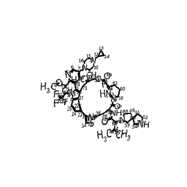 CO[C@@H](C)c1ncc(N2CCN(C3CC3)CC2)cc1-c1c2c3cc(ccc3n1CC(F)(F)F)-c1csc(n1)C[C@H](NC(=O)[C@H](C(C)C)N1CC[C@]3(CCNC3)C1)C(=O)N1CCC[C@H](N1)C(=O)OCC(C)(C)C2